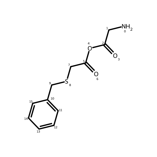 NCC(=O)OC(=O)CSCc1ccccc1